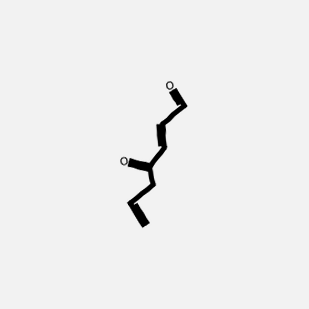 C=CCC(=O)C=CC=O